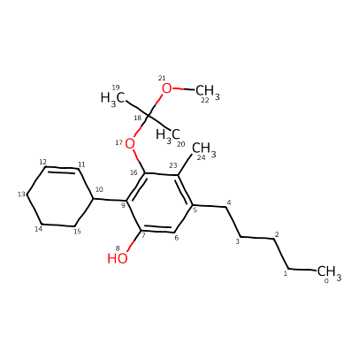 CCCCCc1cc(O)c(C2C=CCCC2)c(OC(C)(C)OC)c1C